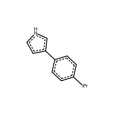 CC(C)c1ccc(-c2cc[nH]c2)cc1